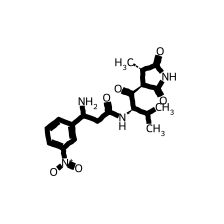 CC(C)[C@H](NC(=O)CC(N)c1cccc([N+](=O)[O-])c1)C(=O)[C@@H]1C(=O)NC(=O)[C@H]1C